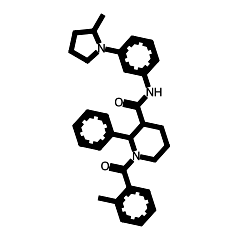 Cc1ccccc1C(=O)N1CCCC(C(=O)Nc2cccc(N3CCCC3C)c2)C1c1ccccc1